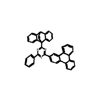 C1=CC2(c3nc(-c4ccccc4)nc(-c4ccc5c6ccccc6c6ccccc6c5c4)n3)c3ccccc3C1c1ccccc12